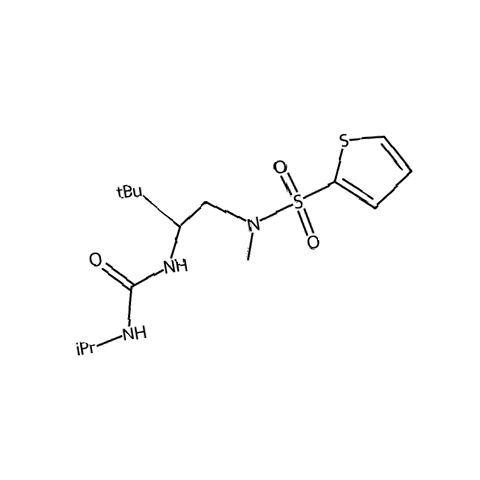 CC(C)NC(=O)NC(CN(C)S(=O)(=O)c1cccs1)C(C)(C)C